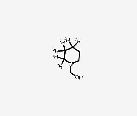 [2H]C1([2H])CCN(CO)C([2H])([2H])C1([2H])[2H]